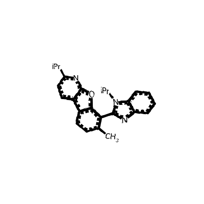 Cc1ccc2c(oc3nc(C(C)C)ccc32)c1-c1nc2ccccc2n1C(C)C